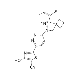 N#Cc1sc(-c2ccc(NCC3(c4ncccc4F)CCC3)nn2)nc1O